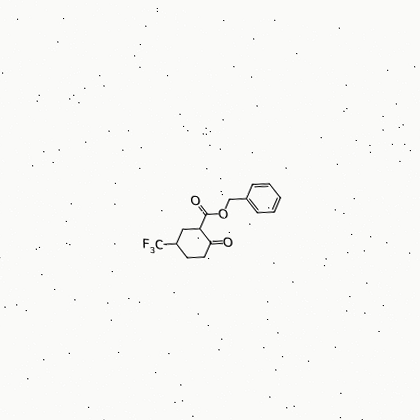 O=C1CCC(C(F)(F)F)CC1C(=O)OCc1ccccc1